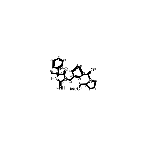 COCC1CCCN1C(=O)c1cccc(CN2C(=N)NC(C)(c3ccccc3)C2=O)c1